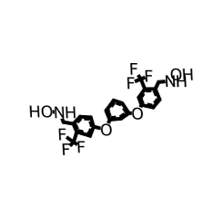 ONCc1ccc(Oc2cccc(Oc3ccc(CNO)c(C(F)(F)F)c3)c2)cc1C(F)(F)F